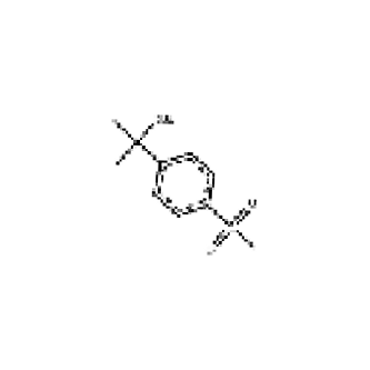 CC(C)(C)C(C)(C)c1ccc(S(C)(=O)=O)cc1